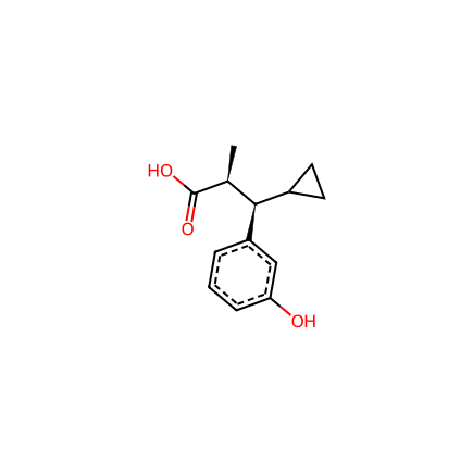 C[C@H](C(=O)O)[C@H](c1cccc(O)c1)C1CC1